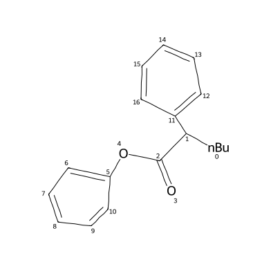 CCCCC(C(=O)Oc1ccccc1)c1ccccc1